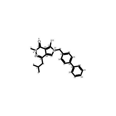 CC(C)Cc1nn(C)c(=O)c2c(I)n(Cc3ccc(-c4ccccc4)cc3)cc12